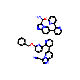 N#Cc1cnc2ccc(-c3cccnc3-c3cccc(OCc4ccccc4)n3)cn12.NC(=O)c1cnc2ccc(-c3cccnc3-c3ccccn3)cn12